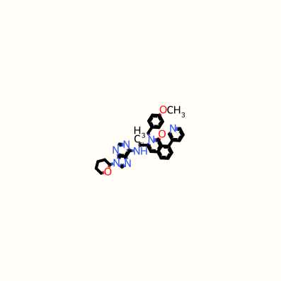 COc1ccc(Cn2c([C@H](C)Nc3ncnc4c3ncn4C3CCCCO3)cc3cccc(-c4cccnc4)c3c2=O)cc1